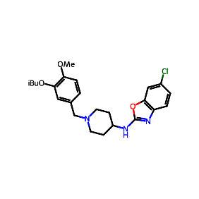 COc1ccc(CN2CCC(Nc3nc4ccc(Cl)cc4o3)CC2)cc1OCC(C)C